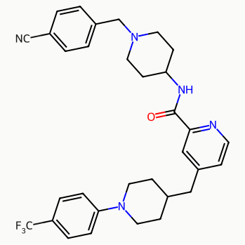 N#Cc1ccc(CN2CCC(NC(=O)c3cc(CC4CCN(c5ccc(C(F)(F)F)cc5)CC4)ccn3)CC2)cc1